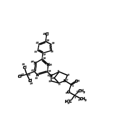 CC(C)(C)OC(=O)N1CC2CC1CN2c1nc(-c2ccc(Cl)cc2)nc(C(Cl)(Cl)Cl)n1